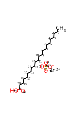 CCCCCCCCCCCCCCCCCCCCCC(=O)O.O=S(=O)([O-])[O-].[Zn+2]